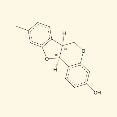 Cc1ccc2c(c1)O[C@@H]1c3ccc(O)cc3OC[C@H]21